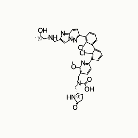 COc1nc(-c2cccc(-c3cccc(-c4ccc5nc(CNC[C@H](C)O)cn5n4)c3Cl)c2Cl)ccc1CN(C[C@@H]1CCC(=O)N1)C(=O)O